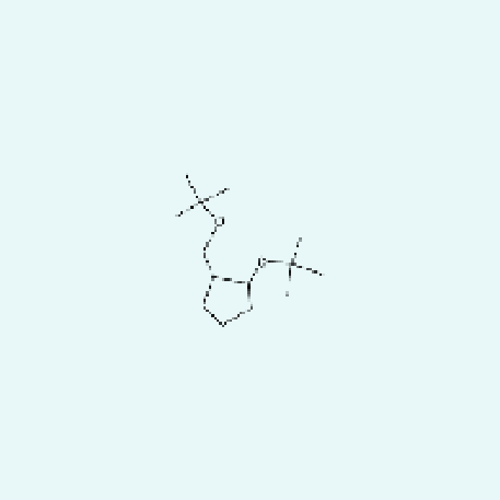 CC(C)(C)OCC1CCCC1OC(C)(C)C